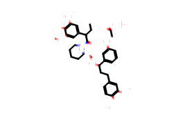 CCC(C(=O)N1CCCC[C@H]1C(=O)OC(CCc1ccc(OC)c(OC)c1)c1cccc(OCC(=O)O)c1)c1cc(OC)c(OC)c(OC)c1